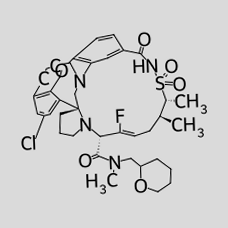 C[C@@H]1[C@@H](C)C/C=C(\F)[C@H](C(=O)N(C)CC2CCCCO2)N2CCC[C@@]23CN2CCCCc4cc(Cl)cc3c4COc3ccc(cc32)C(=O)NS1(=O)=O